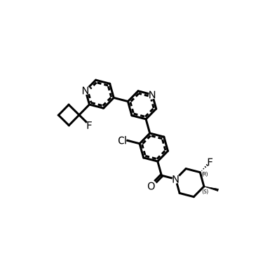 C[C@H]1CCN(C(=O)c2ccc(-c3cncc(-c4ccnc(C5(F)CCC5)c4)c3)c(Cl)c2)C[C@@H]1F